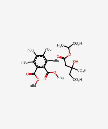 CC(OC(=O)CC(O)(CC(=O)O)C(=O)O)C(=O)O.CCCCOC(=O)c1c(CCCC)c(CCCC)c(CCCC)c(CCCC)c1C(=O)OCCCC